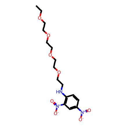 CCOCCOCCOCCOCCNc1ccc([N+](=O)[O-])cc1[N+](=O)[O-]